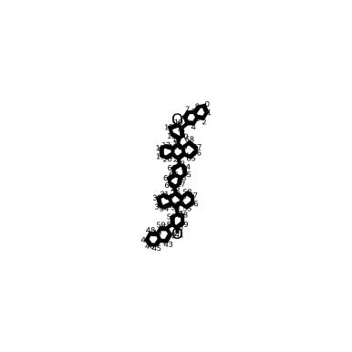 c1ccc2cc3c(cc2c1)oc1ccc(-c2c4ccccc4c(-c4ccc5cc(-c6c7ccccc7c(-c7ccc8oc9cc%10ccccc%10cc9c8c7)c7ccccc67)ccc5c4)c4ccccc24)cc13